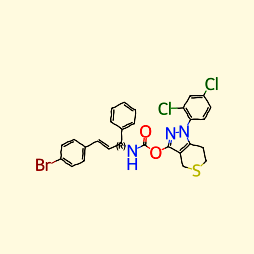 O=C(N[C@H](C=Cc1ccc(Br)cc1)c1ccccc1)Oc1nn(-c2ccc(Cl)cc2Cl)c2c1CSCC2